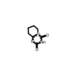 O=c1nc2n(c(=O)[nH]1)CCCC2